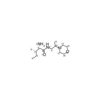 CC[C@H](C)[C@H](N)C(=O)NCC(C)N1CCOCC1